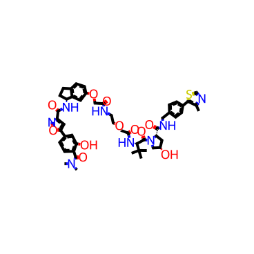 Cc1ncsc1-c1ccc(CNC(=O)[C@@H]2C[C@@H](O)CN2C(=O)[C@@H](NC(=O)COCCNC(=O)COc2ccc3c(c2)[C@H](NC(=O)c2cc(-c4ccc(C(=O)N(C)C)c(O)c4)on2)CC3)C(C)(C)C)cc1